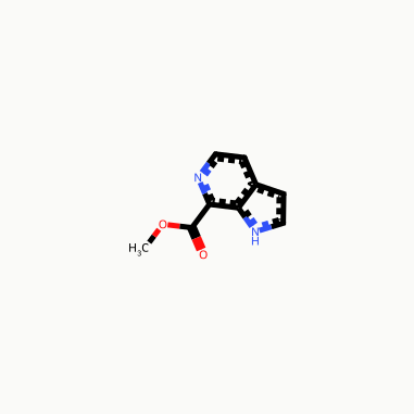 COC(=O)c1nccc2cc[nH]c12